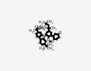 CC(C)(C)CC(C)(C)c1cc2c(c(-n3c4cc(C(C)(C)C)ccc4c4ccc(C(C)(C)C)cc43)c1)OCOc1ccc(Cl)cc1-2